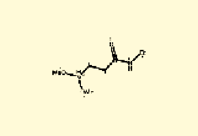 CCNC(=O)CC[SiH](OC)OC